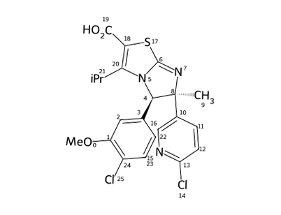 COc1cc([C@H]2N3C(=N[C@@]2(C)c2ccc(Cl)nc2)SC(C(=O)O)=C3C(C)C)ccc1Cl